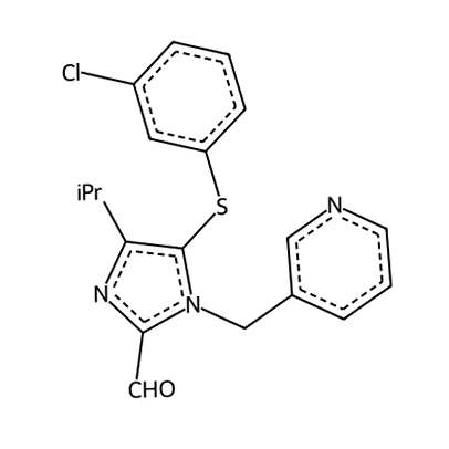 CC(C)c1nc(C=O)n(Cc2cccnc2)c1Sc1cccc(Cl)c1